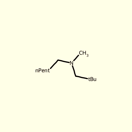 CCCCCCN(C)CC(C)(C)C